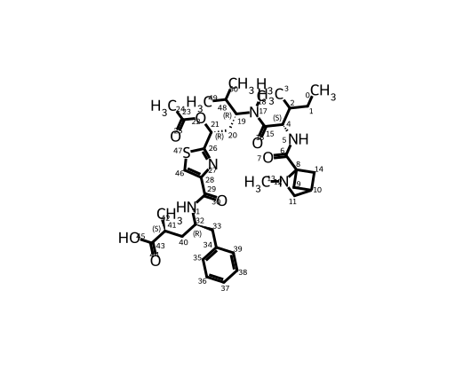 CCC(C)[C@H](NC(=O)C12CC(CN1C)C2)C(=O)N(C)[C@H](C[C@@H](OC(C)=O)c1nc(C(=O)N[C@@H](Cc2ccccc2)C[C@H](C)C(=O)O)cs1)C(C)C